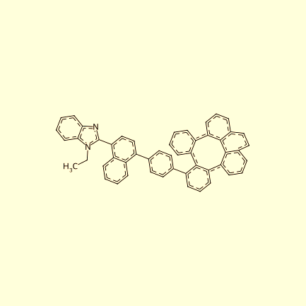 CCn1c(-c2ccc(-c3ccc(-c4cccc5c6cccc7ccc8cccc(c9ccccc9c45)c8c76)cc3)c3ccccc23)nc2ccccc21